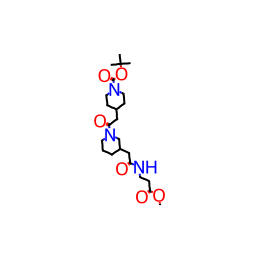 COC(=O)CCNC(=O)CC1CCCN(C(=O)CC2CCN(C(=O)OC(C)(C)C)CC2)C1